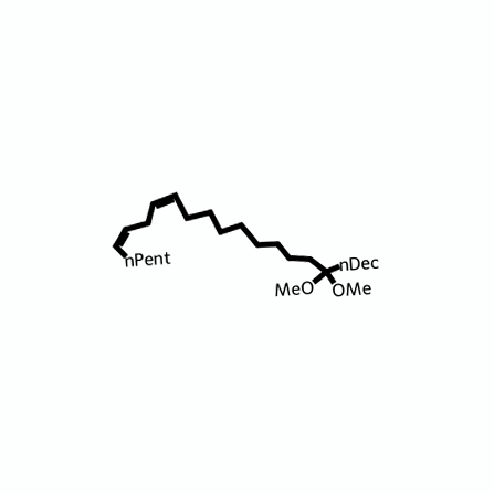 CCCCC/C=C\C/C=C\CCCCCCCCC(CCCCCCCCCC)(OC)OC